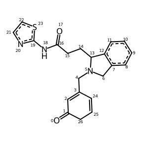 O=C1C=C(CN2Cc3ccccc3C2CCC(=O)Nc2nccs2)C=CC1